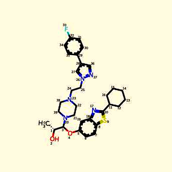 C[C@@H](O)C(Oc1ccc2sc(C3CCCCC3)nc2c1)N1CCN(CCn2cc(-c3ccc(F)cc3)cn2)CC1